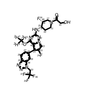 [2H]C([2H])([2H])Oc1nc(N[C@H]2CCN(C(=O)CO)C[C@H]2F)nn2cc(F)c(-c3ccc4nnn(CC(F)(F)F)c4c3)c12